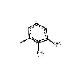 Nc1c(I)cccc1C=O